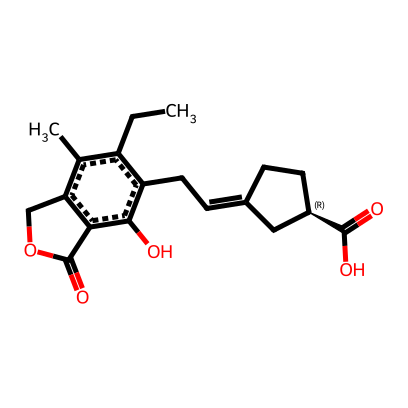 CCc1c(C)c2c(c(O)c1CC=C1CC[C@@H](C(=O)O)C1)C(=O)OC2